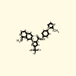 Cc1nccn1-c1ccc(NC(=O)c2cc(C(F)(F)F)nn2-c2ccc3ccnc(N)c3c2)cc1